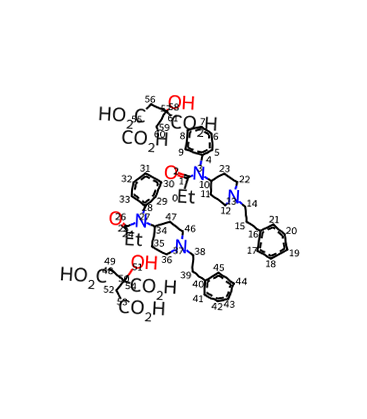 CCC(=O)N(c1ccccc1)C1CCN(CCc2ccccc2)CC1.CCC(=O)N(c1ccccc1)C1CCN(CCc2ccccc2)CC1.O=C(O)CC(O)(CC(=O)O)C(=O)O.O=C(O)CC(O)(CC(=O)O)C(=O)O